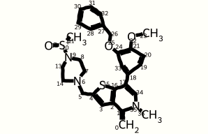 C=C1c2cc(CN3CCN([S+](C)[O-])CC3)sc2C(c2ccc(OC)c(OCc3ccccc3)c2)=CN1C